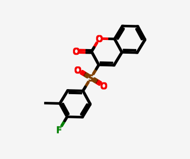 Cc1cc(S(=O)(=O)c2cc3ccccc3oc2=O)ccc1F